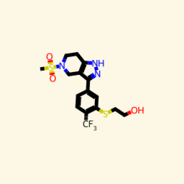 CS(=O)(=O)N1CCc2[nH]nc(-c3ccc(C(F)(F)F)c(SCCO)c3)c2C1